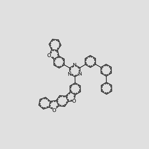 c1ccc(-c2cccc(-c3cccc(-c4nc(-c5ccc6oc7ccccc7c6c5)nc(-c5ccc6oc7cc8oc9ccccc9c8cc7c6c5)n4)c3)c2)cc1